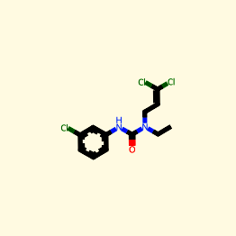 CCN(CC=C(Cl)Cl)C(=O)Nc1cccc(Cl)c1